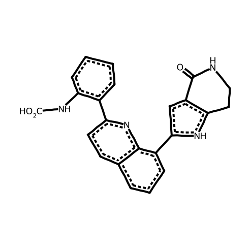 O=C(O)Nc1ccccc1-c1ccc2cccc(-c3cc4c([nH]3)CCNC4=O)c2n1